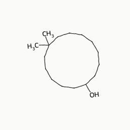 CC1(C)CCCCCCCC(O)CCCCC1